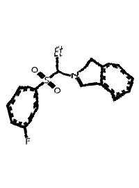 CCC(N1Cc2ccccc2C1)S(=O)(=O)c1cccc(F)c1